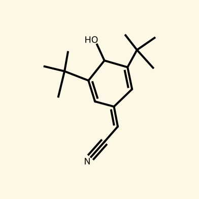 CC(C)(C)C1=CC(=CC#N)C=C(C(C)(C)C)C1O